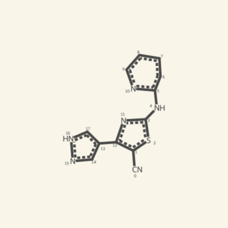 N#Cc1sc(Nc2ccccn2)nc1-c1cn[nH]c1